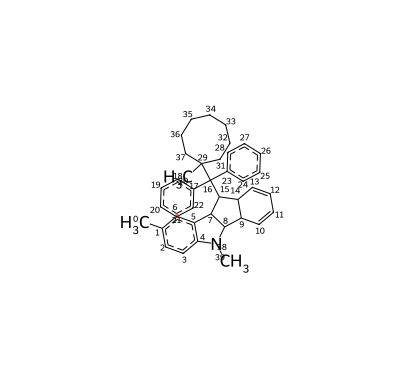 Cc1ccc2c(c1)C1C(C3C=CC=CC3C1C(c1ccccc1)(c1ccccc1)C1(C)CCCCCCC1)N2C